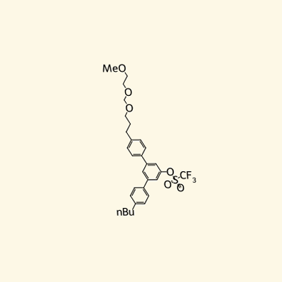 CCCCc1ccc(-c2cc(OS(=O)(=O)C(F)(F)F)cc(-c3ccc(CCCOCOCCOC)cc3)c2)cc1